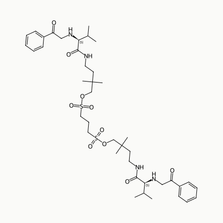 CC(C)[C@H](NCC(=O)c1ccccc1)C(=O)NCCC(C)(C)COS(=O)(=O)CCCS(=O)(=O)OCC(C)(C)CCNC(=O)[C@@H](NCC(=O)c1ccccc1)C(C)C